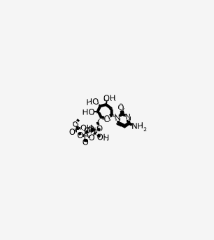 COP(=O)(O)OP(=O)(O)OP(=O)(O)OC[C@H]1O[C@@H](n2ccc(N)nc2=O)C[C@H](O)[C@H](O)[C@@H]1O